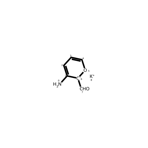 NC1=CC=CO[C-]1C=O.[K+]